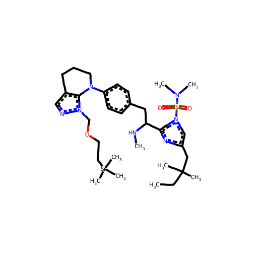 CCC(C)(C)Cc1cn(S(=O)(=O)N(C)C)c(C(Cc2ccc(N3CCCc4cnn(COCC[Si](C)(C)C)c43)cc2)NC)n1